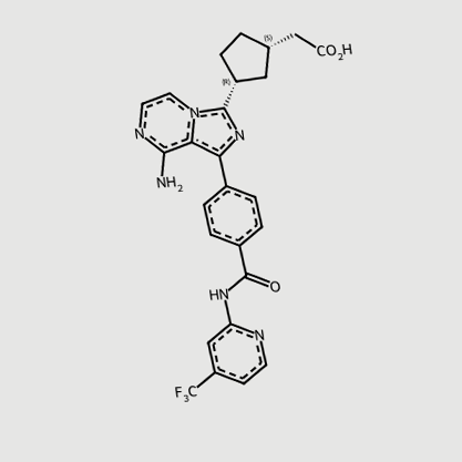 Nc1nccn2c([C@@H]3CC[C@H](CC(=O)O)C3)nc(-c3ccc(C(=O)Nc4cc(C(F)(F)F)ccn4)cc3)c12